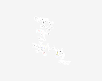 O=C([O-])c1ccc(CCCN2C(=O)CC[C@@H]2CC[C@@H](O)Cc2cccc(C(F)(F)F)c2)s1.[Na+]